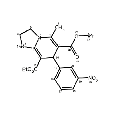 CCOC(=O)C1=C2NCCN2C(C)=C(C(=O)OC(C)C)C1c1cccc([N+](=O)[O-])c1